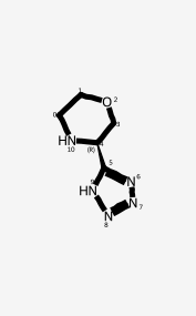 C1COC[C@@H](c2nnn[nH]2)N1